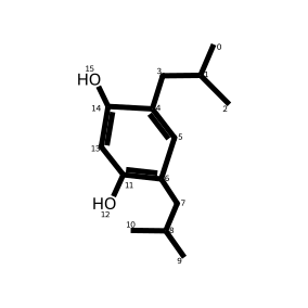 CC(C)Cc1cc(CC(C)C)c(O)cc1O